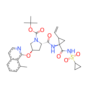 C=CC1C[C@]1(NC(=O)[C@@H]1C[C@@H](Oc2nccc3cccc(C)c23)CN1C(=O)OC(C)(C)C)C(=O)NS(=O)(=O)C1CC1